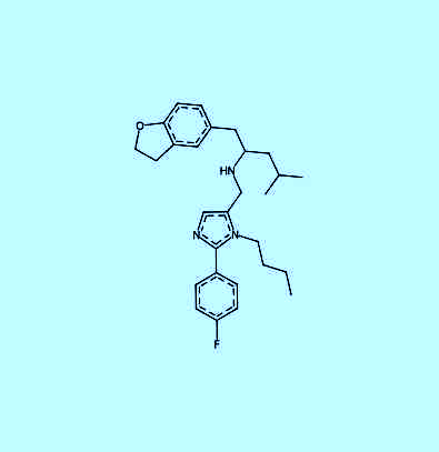 CCCCn1c(CNC(Cc2ccc3c(c2)CCO3)CC(C)C)cnc1-c1ccc(F)cc1